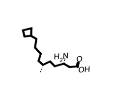 C[C@H](CCCCC1CCC1)CC[C@H](N)CC(=O)O